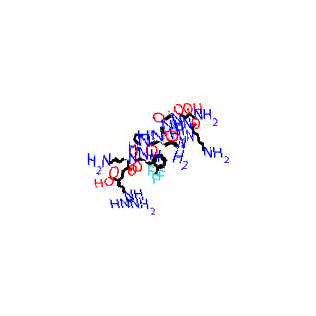 C[C@H](NC(=O)[C@@H](NC(=O)[C@@H](N)CCCCN)[C@@H](O)CN)C(=O)NCC(=O)N[C@H](CCCN)C(=O)N1CCC[C@H]1C(=O)N[C@@H](Cc1ccccc1C(F)(F)F)C(=O)N[C@@H](CCCCN)C(=O)CC/C(=C\CCNC(=N)N)C(=O)O